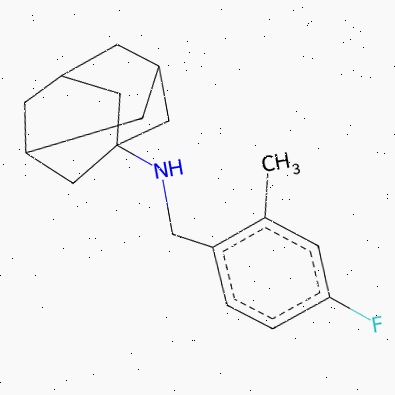 Cc1cc(F)ccc1CNC12CC3CC(CC(C3)C1)C2